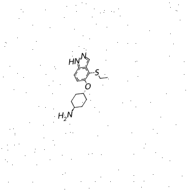 CCSc1c(O[C@H]2CC[C@H](N)CC2)ccc2[nH]ncc12